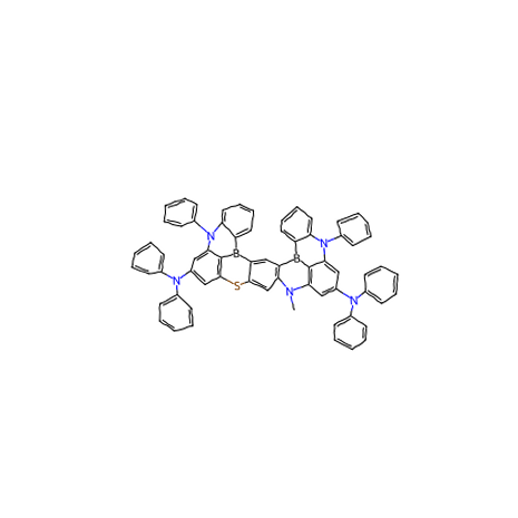 CN1c2cc3c(cc2B2c4ccccc4N(c4ccccc4)c4cc(N(c5ccccc5)c5ccccc5)cc1c42)B1c2ccccc2N(c2ccccc2)c2cc(N(c4ccccc4)c4ccccc4)cc(c21)S3